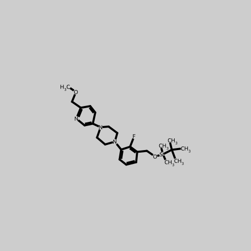 COCc1ccc(N2CCN(c3cccc(CO[Si](C)(C)C(C)(C)C)c3F)CC2)cn1